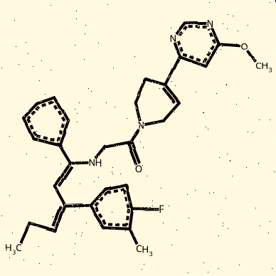 CC/C=C(\C=C(/NCC(=O)N1CC=C(c2cc(OC)ncn2)CC1)c1ccccc1)c1ccc(F)c(C)c1